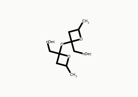 CCCCCCCCCCCC1(OC2(CCCCCCCCCCC)CC(C)O2)CC(C)O1